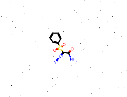 [N-]=[N+]=C(C(N)=O)S(=O)(=O)c1ccccc1